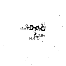 CCOc1ncccc1-c1ccc(C2CCN(C(=O)OC(C)(C)C)CC2)c(OCCN(C)C(=O)OC(C)(C)C)n1